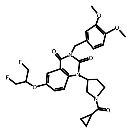 COc1ccc(Cn2c(=O)c3cc(OC(CF)CF)ccc3n(C3CCN(C(=O)C4CC4)C3)c2=O)cc1OC